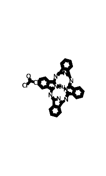 O=C(Cl)Cl.c1ccc2c(c1)C1=NC/2=N\c2c3ccccc3c3[n]2[Cu][n]2/c(c4ccccc4/c2=N/C2=N\C(=N/3)c3ccccc32)=N\1